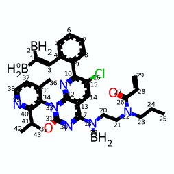 BC(B)=Cc1ccccc1-c1nc2c(cc1Cl)c(N(B)CCN(CCC)C(=O)C=C)nc(=O)n2-c1c(C)ccnc1C(C)C